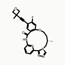 C[C@H]1CCOc2cc(F)c(C#CC3(C)COC3)cc2C(=O)Nc2cccc(n2)-c2nncn2C1